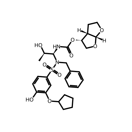 C[C@@H](O)[C@@H](NC(=O)O[C@H]1CO[C@H]2OCC[C@H]21)N(Cc1ccccc1)S(=O)(=O)c1ccc(O)c(OC2CCCC2)c1